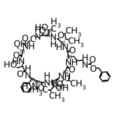 CCC(C)[C@@H]1NC(=O)[C@@H](CCCNC(=O)OCc2ccccc2)NC(=O)[C@H](CC(C)C)NC(=O)[C@H]([C@H](O)C(C)C)NC(=O)[C@@H](N)[C@@H](c2ccccc2)NC(=O)C(CO)NC(=O)[C@H](CO)NC(=O)CNC(=O)[C@H]([C@H](C)O)NC1=O